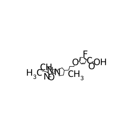 CC(C)c1noc(N2CCC(C(C)CCOc3ccc(CC(=O)O)c(F)c3)CC2)n1